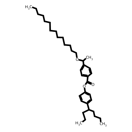 CCCCCCCCCCCCCCOC(C)c1ccc(C(=O)Oc2ccc(C(CCC)CCCC)cc2)cc1